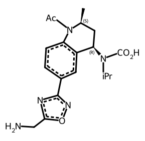 CC(=O)N1c2ccc(-c3noc(CN)n3)cc2[C@H](N(C(=O)O)C(C)C)C[C@@H]1C